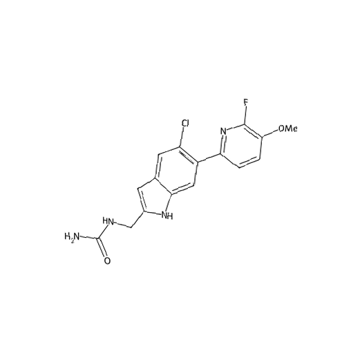 COc1ccc(-c2cc3[nH]c(CNC(N)=O)cc3cc2Cl)nc1F